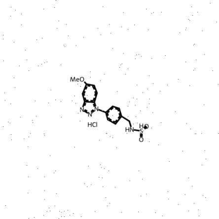 COc1ccc2c(c1)nnn2-c1ccc(CN[SH](=O)=O)cc1.Cl